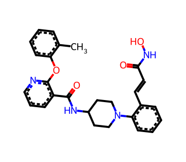 Cc1ccccc1Oc1ncccc1C(=O)NC1CCN(c2ccccc2C=CC(=O)NO)CC1